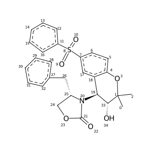 CC1(C)Oc2ccc(S(=O)(=O)c3ccccc3)cc2[C@H](N2C(=O)OC[C@@H]2Cc2ccccc2)[C@H]1O